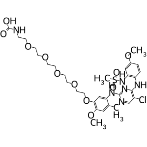 COc1ccc(Nc2nc(Nc3cc(OCCOCCOCCOCCOCCNC(=O)O)c(OC)cc3C)ncc2Cl)c(NS(C)(=O)=O)c1